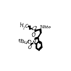 C=CCOC(=O)[C@H](Cc1cn(C(=O)OC(C)(C)C)c2ccccc12)NC